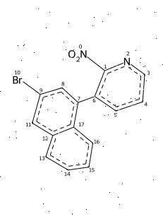 O=[N+]([O-])c1ncccc1-c1cc(Br)cc2ccccc12